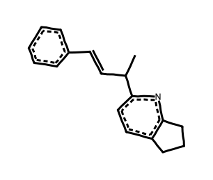 CC(C=Cc1ccccc1)c1ccc2c(n1)CCC2